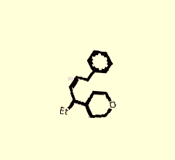 CC[C](/C=C\Cc1ccccc1)C1CCOCC1